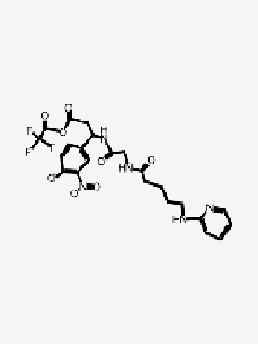 O=C(CCCCNc1ccccn1)NCC(=O)NC(CC(=O)OC(=O)C(F)(F)F)c1ccc(Cl)c([N+](=O)[O-])c1